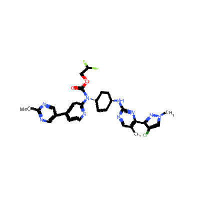 COc1ncc(-c2ccnc(N(C(=O)OCC(F)F)[C@H]3CC[C@H](Nc4ncc(C(F)(F)F)c(-c5nn(C)cc5Cl)n4)CC3)c2)cn1